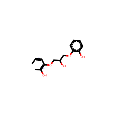 C/C=C\C(OCC(O)COc1ccccc1O)=C(/C)O